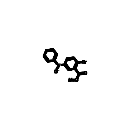 COC(=O)c1cc([S+]([O-])c2ccccc2)ccc1Br